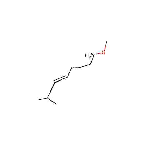 CO[SiH2]CCC=CC(C)C